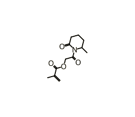 C=C(C)C(=O)OCC(=O)N1C(=O)CCCC1C